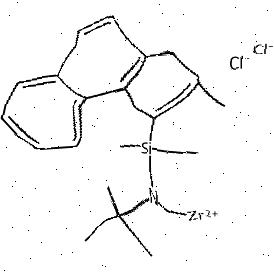 CC1=C([Si](C)(C)[N]([Zr+2])C(C)(C)C)c2c(ccc3ccccc23)C1.[Cl-].[Cl-]